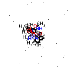 CCC(=O)NC1CC(N/C(=N/C)N[C@H]2[C@H](C)C(C)Cc3cccc(S(C)(=O)=O)c3N2COCC[Si](C)(C)C)CN(C(=O)OC(C)(C)C)C1